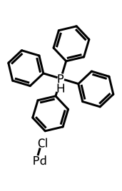 [Cl][Pd].c1ccc([PH](c2ccccc2)(c2ccccc2)c2ccccc2)cc1